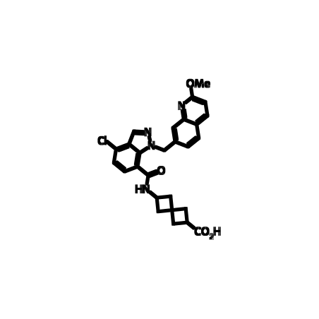 COc1ccc2ccc(Cn3ncc4c(Cl)ccc(C(=O)NC5CC6(C5)CC(C(=O)O)C6)c43)cc2n1